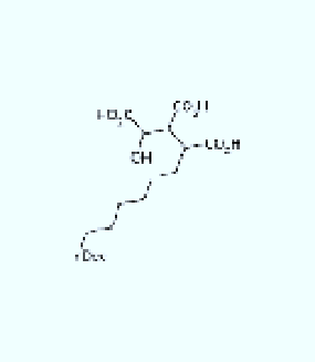 CCCCCCCCCCCCCCCCC(C(=O)O)C(C(=O)O)C(O)C(=O)O